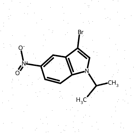 CC(C)n1cc(Br)c2cc([N+](=O)[O-])ccc21